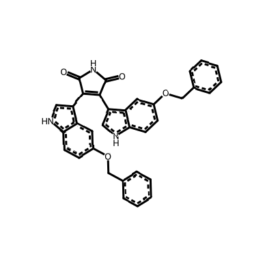 O=C1NC(=O)C(c2c[nH]c3ccc(OCc4ccccc4)cc23)=C1c1c[nH]c2ccc(OCc3ccccc3)cc12